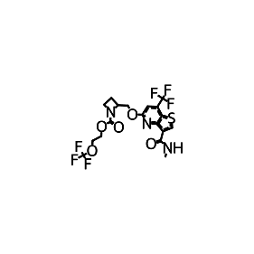 CNC(=O)c1csc2c(C(F)(F)F)cc(OCC3CCN3C(=O)OCCOC(F)(F)F)nc12